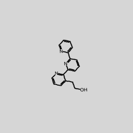 OCCc1cccnc1-c1cccc(-c2ccccn2)n1